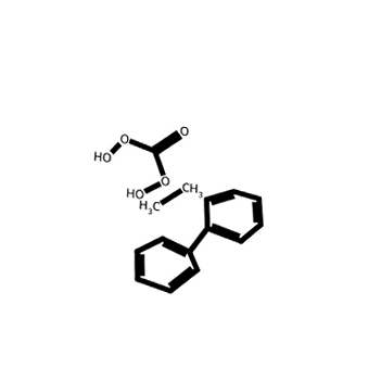 CC.O=C(OO)OO.c1ccc(-c2ccccc2)cc1